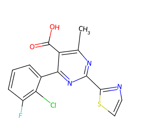 Cc1nc(-c2nccs2)nc(-c2cccc(F)c2Cl)c1C(=O)O